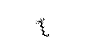 CC\C=C/C=C/C=C/CC(C#N)CC